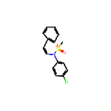 CS(=O)(=O)N(/C=C\c1ccccc1)c1ccc(Cl)cc1